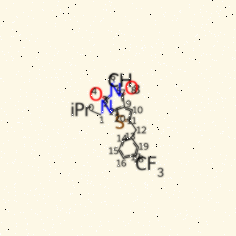 CC(C)Cn1c(=O)n(C)c(=O)c2cc(Cc3cccc(C(F)(F)F)c3)sc21